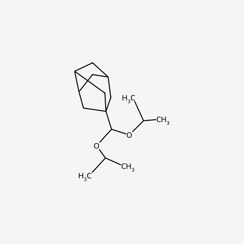 CC(C)OC(OC(C)C)C12CC3CC(C1)C(C3)C2